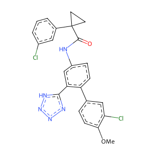 COc1ccc(-c2ccc(NC(=O)C3(c4cccc(Cl)c4)CC3)cc2-c2nnn[nH]2)cc1Cl